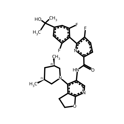 C[C@@H]1C[C@H](C)CN(c2c(NC(=O)c3ccc(F)c(-c4c(F)cc(C(C)(C)O)cc4F)n3)cnc3c2CCO3)C1